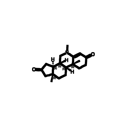 CN1C[C@@H]2[C@@H](CC[C@]3(C)CC(=O)C[C@@H]23)[C@@]2(C)CCC(=O)C=C12